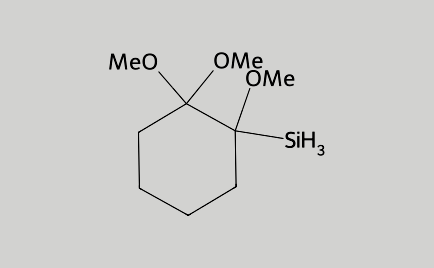 COC1([SiH3])CCCCC1(OC)OC